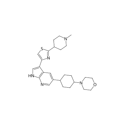 CN1CCC(c2nc(-c3c[nH]c4ncc(C5CCC(N6CCOCC6)CC5)cc34)cs2)CC1